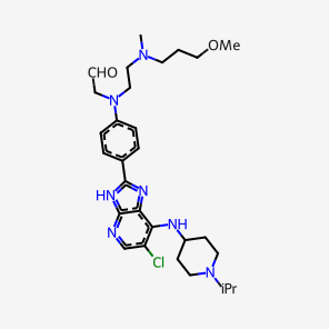 COCCCN(C)CCN(CC=O)c1ccc(-c2nc3c(NC4CCN(C(C)C)CC4)c(Cl)cnc3[nH]2)cc1